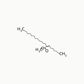 CCCCCCC=C(CCCCCCCCCCCCC)C(=O)OC